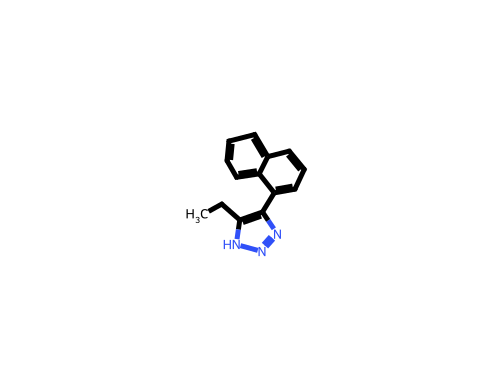 CCc1[nH]nnc1-c1cccc2ccccc12